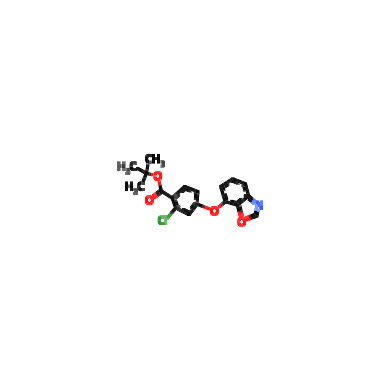 CC(C)(C)OC(=O)c1ccc(Oc2cccc3ncoc23)cc1Cl